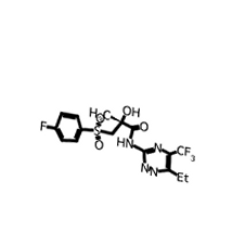 CCc1nnc(NC(=O)[C@@](C)(O)CS(=O)(=O)c2ccc(F)cc2)nc1C(F)(F)F